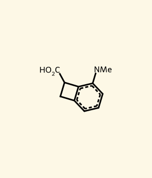 CNc1cccc2c1C(C(=O)O)C2